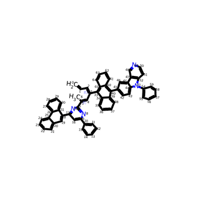 C=C/C=C(\C=C(/C)c1nc(-c2ccccc2)cc(-c2cc3ccccc3c3ccccc23)n1)c1c2ccccc2c(-c2ccc3c(c2)c2cnccc2n3-c2ccccc2)c2ccccc12